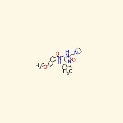 CCC(CN1CC[C@@H](CNC(=O)c2ccc3cc(OC)ccc3c2)N[C@@H](CCN2CCCCC2)C1=O)c1ccccc1